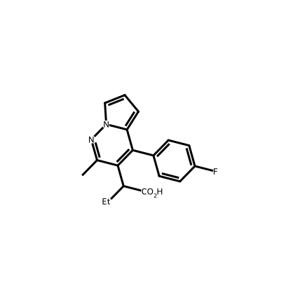 CCC(C(=O)O)c1c(C)nn2cccc2c1-c1ccc(F)cc1